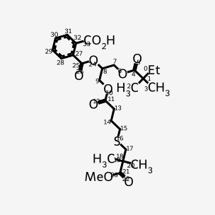 CCC(C)(C)C(=O)OCC(COC(=O)CCCSCC(C)(C)C(=O)OC)OC(=O)c1ccccc1C(=O)O